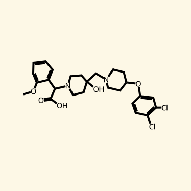 COc1ccccc1C(C(=O)O)N1CCC(O)(CN2CCC(Oc3ccc(Cl)c(Cl)c3)CC2)CC1